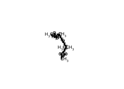 CCN1CC(=O)N(CCCCC(C)(C)CCCCOCCCCC(C)(C)CN2C(=O)CN(CC)C2=O)C1=O